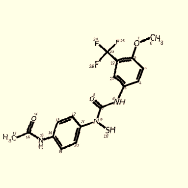 COc1ccc(NC(=O)N(S)c2ccc(NC(C)=O)cc2)cc1C(F)(F)F